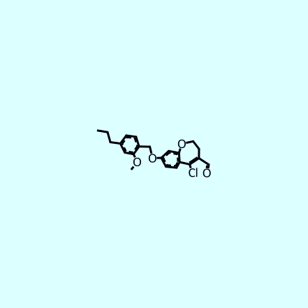 CCCc1ccc(COc2ccc3c(c2)OCCC(C=O)=C3Cl)c(OC)c1